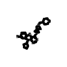 Fc1ccc(Oc2cncnc2N2CC3(CN(CC4CCOCC4)C3)C2)c(OC2CCCC2)c1